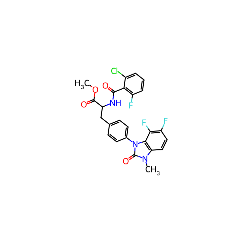 COC(=O)C(Cc1ccc(-n2c(=O)n(C)c3ccc(F)c(F)c32)cc1)NC(=O)c1c(F)cccc1Cl